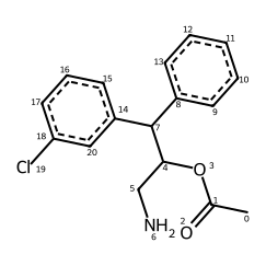 CC(=O)OC(CN)C(c1ccccc1)c1cccc(Cl)c1